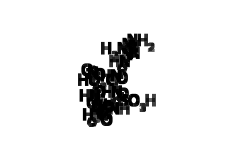 Nc1nc(N)c2nc(CNc3ccc(C(=O)N[C@@H](CCCNC(=O)c4ccc(NC(O)CNC(=O)[C@H](Cc5ccccc5)NC(=O)CNC(=O)CNC(=O)CCCCCN5C(=O)C=CC5=O)cc4S(=O)(=O)O)C(=O)O)cc3)cnc2n1